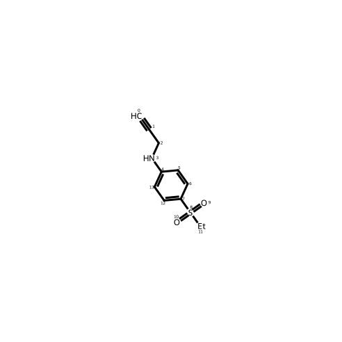 C#CCNc1ccc(S(=O)(=O)CC)cc1